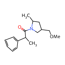 COCC1CC(C)N(C(=O)C(C)c2ccccc2)C1